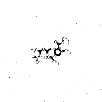 C=C(C)[C@H]1CN(C)[C@H](C(=O)OC)[C@H]1CC(=O)OC(C)O[N+](=O)[O-]